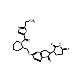 CCc1ncc(C(=O)N2CCCCC2COc2ccc3c(c2)CN(C2CCC(=O)NC2=O)C3=O)s1